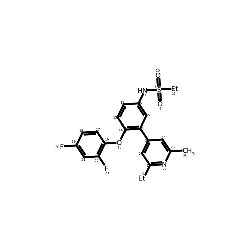 CCc1cc(-c2cc(NS(=O)(=O)CC)ccc2Oc2ccc(F)cc2F)cc(C)n1